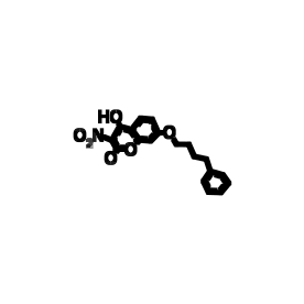 O=c1oc2cc(OCCCCc3ccccc3)ccc2c(O)c1[N+](=O)[O-]